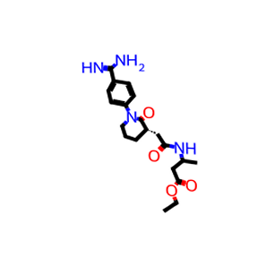 CCOC(=O)CC(C)NC(=O)C[C@@H]1CCCN(c2ccc(C(=N)N)cc2)C1=O